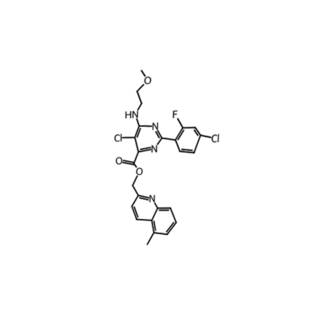 COCCNc1nc(-c2ccc(Cl)cc2F)nc(C(=O)OCc2ccc3c(C)cccc3n2)c1Cl